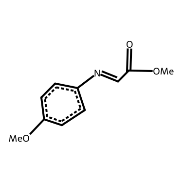 COC(=O)C=Nc1ccc(OC)cc1